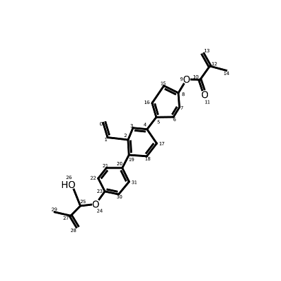 C=Cc1cc(-c2ccc(OC(=O)C(=C)C)cc2)ccc1-c1ccc(OC(O)C(=C)C)cc1